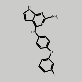 Nc1nc(Nc2ccc(Oc3cccc(Cl)c3)cc2)c2cc[nH]c2n1